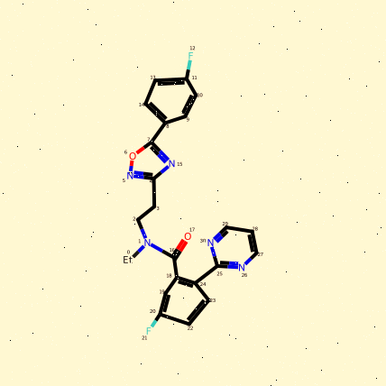 CCN(CCc1noc(-c2ccc(F)cc2)n1)C(=O)c1cc(F)ccc1-c1ncccn1